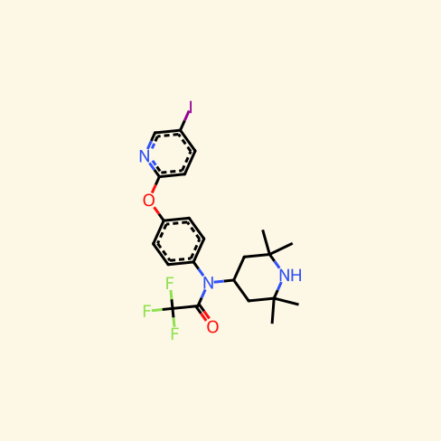 CC1(C)CC(N(C(=O)C(F)(F)F)c2ccc(Oc3ccc(I)cn3)cc2)CC(C)(C)N1